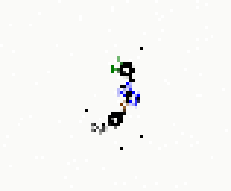 O=[N+]([O-])c1ccc(CSc2ncnc3c2ncn3Cc2ccc(F)c(F)c2)cc1